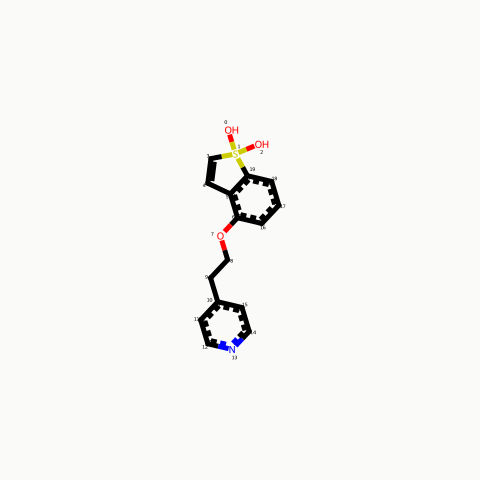 OS1(O)C=Cc2c(OCCc3ccncc3)cccc21